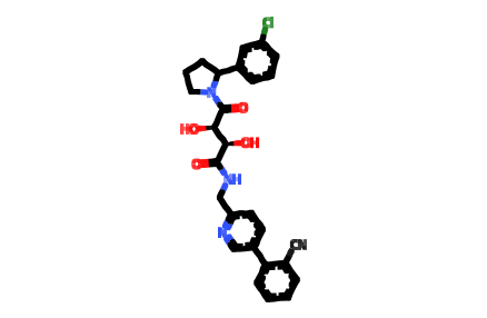 N#Cc1ccccc1-c1ccc(CNC(=O)[C@H](O)[C@@H](O)C(=O)N2CCCC2c2cccc(Cl)c2)nc1